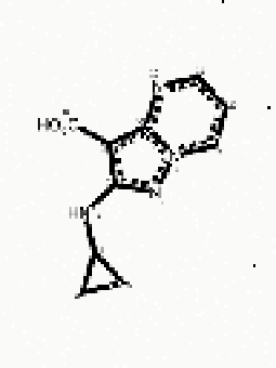 O=C(O)c1c(NC2CC2)nn2cccnc12